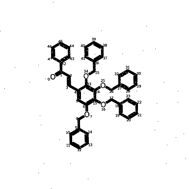 O=C(C=Cc1cc(OCc2ccccc2)c(OCc2ccccc2)c(OCc2ccccc2)c1OCc1ccccc1)c1ccccc1